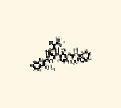 Cc1c(C(=O)NC(CCC(=O)C(N)=O)C(=O)Nc2cccn(CC(=O)NC3C4CCCC(C4)CN3C)c2=O)oc2ccccc12